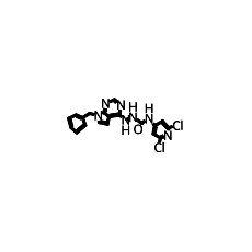 O=C(NNc1ncnc2c1ccn2Cc1ccccc1)Nc1cc(Cl)nc(Cl)c1